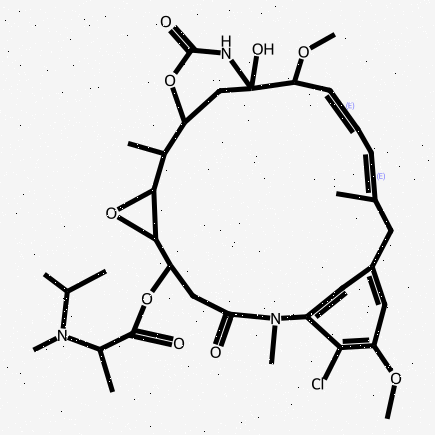 COc1cc2cc(c1Cl)N(C)C(=O)CC(OC(=O)C(C)N(C)C(C)C)C1OC1C(C)C1CC(O)(NC(=O)O1)C(OC)/C=C/C=C(\C)C2